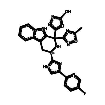 Cc1nc(C2(c3nnc(O)o3)N[C@@H](c3nc(-c4ccc(F)cn4)c[nH]3)Cc3c2[nH]c2ccccc32)no1